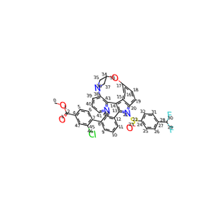 COC(=O)c1ccc(-c2cccc(-c3c4c5cc(ccc5n3[S+]([O-])c3ccc(C(F)F)cc3)OC3CN(C3)c3cccnc3-4)c2)c(Cl)c1